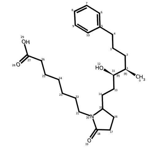 C[C@H](CCCc1ccccc1)[C@H](O)CCC1CCC(=O)N1CCCCCCC(=O)O